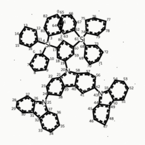 c1ccc([Si](c2ccccc2)(c2ccccc2)c2cc(-n3c4ccc(-n5c6ccccc6c6ccccc65)cc4c4cc(-n5c6ccccc6c6ccccc65)ccc43)cc([Si](c3ccccc3)(c3ccccc3)c3ccccc3)c2)cc1